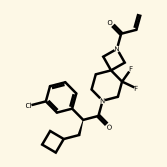 C=CC(=O)N1CC2(CCN(C(=O)[C@@H](CC3CCC3)c3cccc(Cl)c3)CC2(F)F)C1